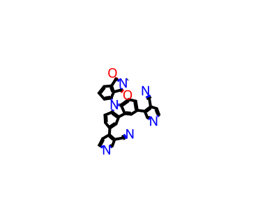 CN1C(=O)c2cccc(-n3c4ccc(-c5ccncc5C#N)cc4c4cc(-c5cnccc5C#N)ccc43)c2C1=O